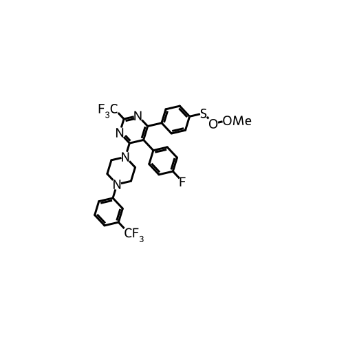 COOSc1ccc(-c2nc(C(F)(F)F)nc(N3CCN(c4cccc(C(F)(F)F)c4)CC3)c2-c2ccc(F)cc2)cc1